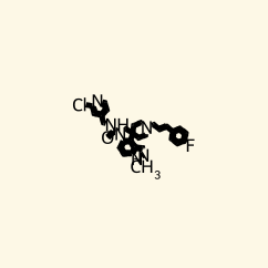 Cn1ncc2c3c(ccc21)N(C(=O)NCc1ccnc(Cl)c1)CC31CCN(C/C=C/c2ccc(F)cc2)CC1